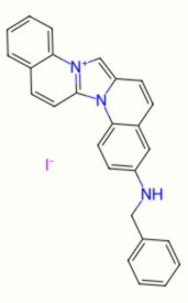 [I-].c1ccc(CNc2ccc3c(ccc4c[n+]5c6ccccc6ccc5n43)c2)cc1